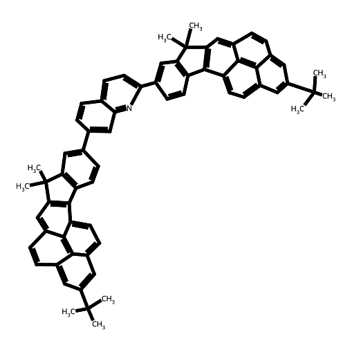 CC(C)(C)c1cc2ccc3cc4c(c5ccc(c1)c2c35)-c1ccc(-c2ccc3ccc(-c5ccc6c(c5)C(C)(C)c5cc7ccc8cc(C(C)(C)C)cc9ccc(c5-6)c7c89)nc3c2)cc1C4(C)C